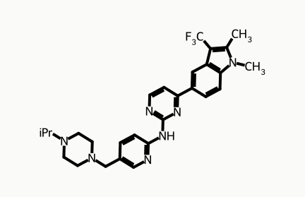 Cc1c(C(F)(F)F)c2cc(-c3ccnc(Nc4ccc(CN5CCN(C(C)C)CC5)cn4)n3)ccc2n1C